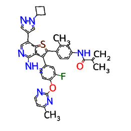 C=C(C)C(=O)Nc1ccc(-c2sc3c(-c4cnn(C5CCC5)c4)cnc(N)c3c2-c2ccc(Oc3nccc(C)n3)c(F)c2)c(C)c1